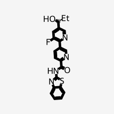 CC[C@@H](O)c1cnc(-c2ccc(C(=O)Nc3nc4ccccc4s3)nc2)c(F)c1